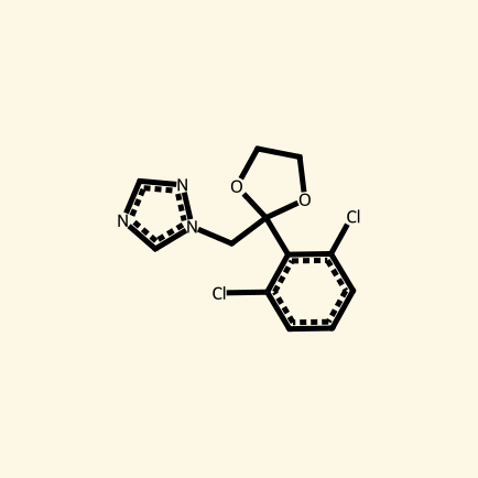 Clc1cccc(Cl)c1C1(Cn2cncn2)OCCO1